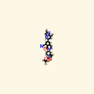 Cc1cn2nc(-c3cc(C#N)c4c(=O)n(C5CCN(C(=O)OC(C)(C)C)C6(CC6)C5)ccc4c3)cc(C)c2n1